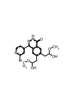 COC(O)Cc1cc2c(-c3ccnc(Br)c3)n[nH]c(=O)c2cc1CC(O)OC